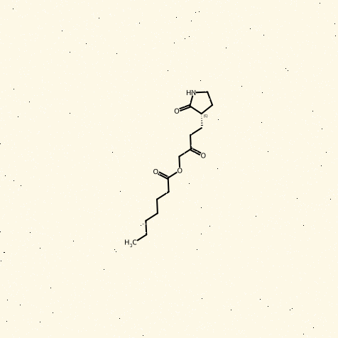 CCCCCCC(=O)OCC(=O)CC[C@H]1CCNC1=O